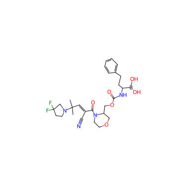 CC(C)(C=C(C#N)C(=O)N1CCOCC1COC(=O)NC(CCc1ccccc1)B(O)O)N1CCC(F)(F)C1